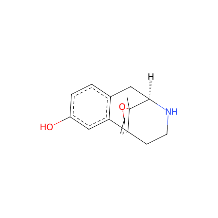 CC12OCCC[C@@]13CCN[C@@H]2Cc1ccc(O)cc13